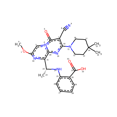 COc1cn2c(=O)c(C#N)c(N3CCC(C)(C)CC3)nc2c([C@@H](C)Nc2ccccc2C(=O)O)n1